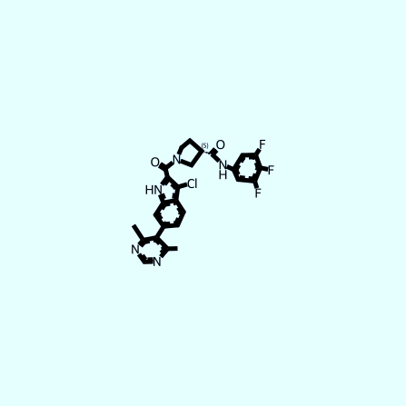 Cc1ncnc(C)c1-c1ccc2c(Cl)c(C(=O)N3CC[C@H](C(=O)Nc4cc(F)c(F)c(F)c4)C3)[nH]c2c1